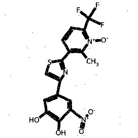 Cc1c(-c2nc(-c3cc(O)c(O)c([N+](=O)[O-])c3)cs2)ccc(C(F)(F)F)[n+]1[O-]